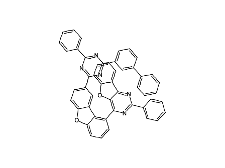 c1ccc(-c2cccc(-c3nc(-c4ccccc4)nc(-c4ccc5oc6cccc(-c7nc(-c8ccccc8)nc8c7oc7ccccc78)c6c5c4)n3)c2)cc1